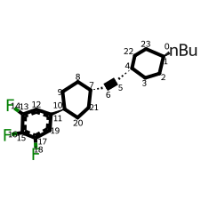 CCCC[C@H]1CC[C@H](C#C[C@H]2CC[C@H](c3cc(F)c(F)c(F)c3)CC2)CC1